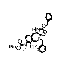 Cc1c(NC(=O)OC(C)(C)C)ccc2c1CN(Cc1ccccc1)C(=O)[C@H](NC(=O)OCc1ccccc1)C2